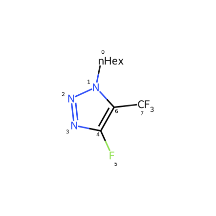 CCCCCCn1nnc(F)c1C(F)(F)F